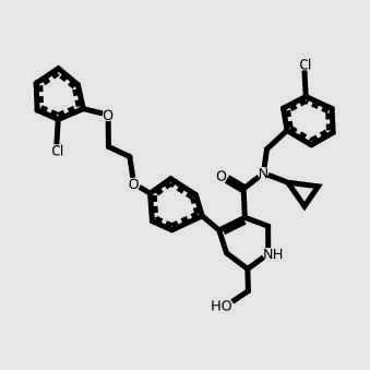 O=C(C1=C(c2ccc(OCCOc3ccccc3Cl)cc2)CC(CO)NC1)N(Cc1cccc(Cl)c1)C1CC1